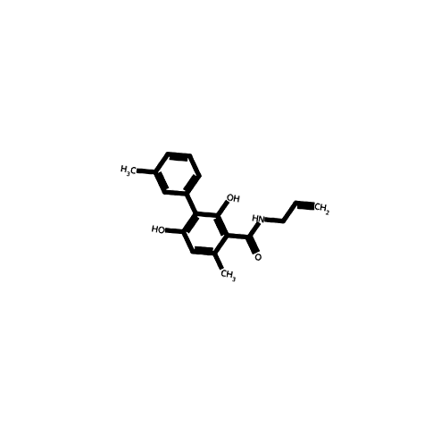 C=CCNC(=O)c1c(C)cc(O)c(-c2cccc(C)c2)c1O